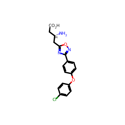 N[C@@H](CC(=O)O)Cc1nc(-c2ccc(Oc3ccc(Cl)cc3)cc2)no1